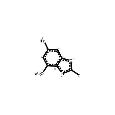 COc1cc(C(C)C)cc2oc(C)nc12